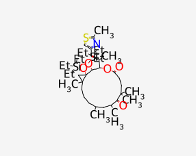 CC[Si](CC)(CC)OC1C(C(C)=Cc2csc(C)n2)OC(=O)CCC(C)(C)C(=O)C(C)CC(C)CCCC2(C)CC12O[Si](CC)(CC)CC